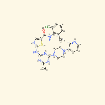 Cc1nc(Nc2ncc(C(=O)Nc3c(C)cccc3Cl)s2)nc(N2CCN(c3cccnc3)CC2)n1